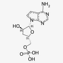 Nc1ncnc2c1ccn2[C@@H]1O[C@H](COP(=O)(O)O)C[C@H]1O